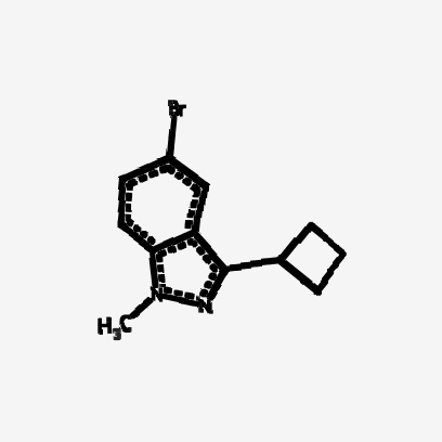 Cn1nc(C2CCC2)c2cc(Br)ccc21